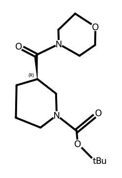 CC(C)(C)OC(=O)N1CCC[C@@H](C(=O)N2CCOCC2)C1